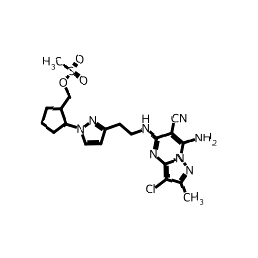 Cc1nn2c(N)c(C#N)c(NCCc3ccn(C4CCCC4COS(C)(=O)=O)n3)nc2c1Cl